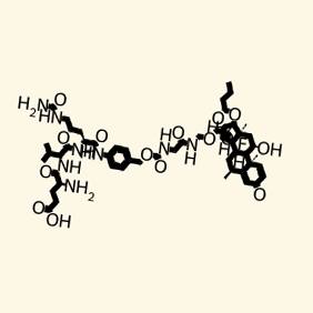 CCCC1O[C@@H]2C[C@H]3[C@@H]4C[C@H](C)C5=CC(=O)C=C[C@]5(C)[C@@]4(F)[C@@H](O)C[C@]3(C)[C@]2(C(=O)COCNC(=O)CNC(=O)OCc2ccc(NC(=O)[C@H](CCCNC(N)=O)NC(=O)[C@@H](NC(=O)[C@@H](N)CCC(=O)O)C(C)C)cc2)O1